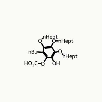 CCCCCCCOc1c(O)c(OC(=O)O)c(CCCC)c(OCCCCCCC)c1OCCCCCCC